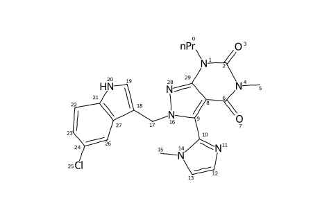 CCCn1c(=O)n(C)c(=O)c2c(-c3nccn3C)n(Cc3c[nH]c4ccc(Cl)cc34)nc21